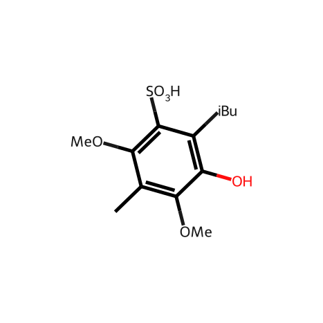 CCC(C)c1c(O)c(OC)c(C)c(OC)c1S(=O)(=O)O